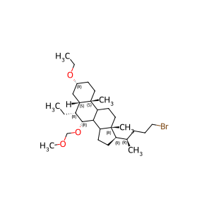 CCO[C@@H]1CC[C@]2(C)C3CC[C@@]4(C)C(CC[C@@H]4[C@H](C)CCCBr)C3[C@H](OCOC)[C@H](CC)[C@@H]2C1